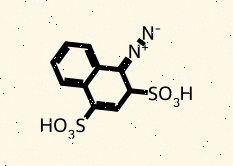 [N-]=[N+]=C1c2ccccc2C(S(=O)(=O)O)=CC1S(=O)(=O)O